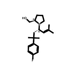 CC(C)=C[C@H](CC(C)(C)c1ccc(F)cc1)N1CCC[C@@H]1CO